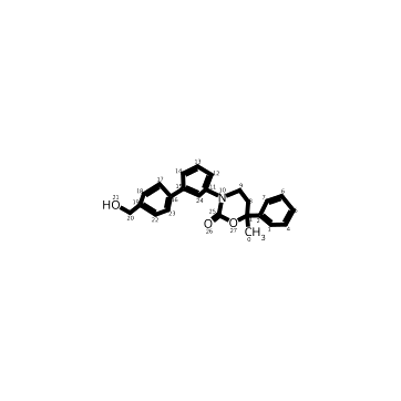 CC1(c2ccccc2)CCN(c2cccc(-c3ccc(CO)cc3)c2)C(=O)O1